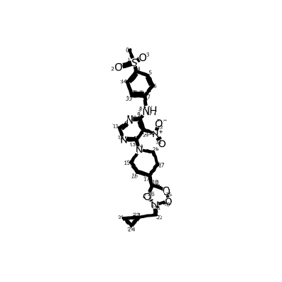 CS(=O)(=O)c1ccc(Nc2ncnc(N3CCC(C4OON(CC5CC5)O4)CC3)c2[N+](=O)[O-])cc1